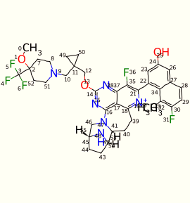 COC1(C(F)(F)F)CCN(CC2(COc3nc4c5c([n+](C)c(-c6cc(O)cc7ccc(F)c(C)c67)c(F)c5n3)CC[C@@H]3[C@@H]5CC[C@H](CN43)N5)CC2)CC1